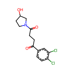 O=C(CCC(=O)N1CCC(O)C1)c1ccc(Cl)c(Cl)c1